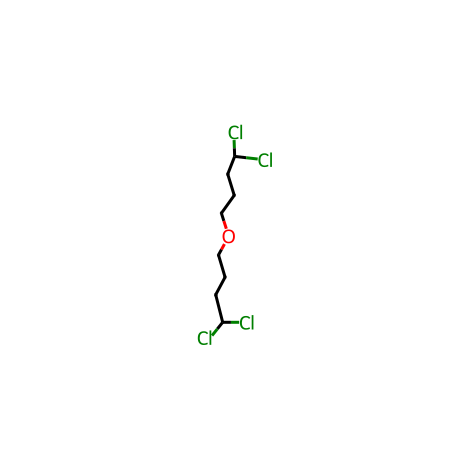 ClC(Cl)CCCOCCCC(Cl)Cl